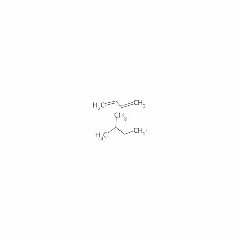 C=CC=C.[CH2]CC(C)C